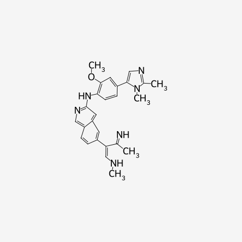 CN/C=C(\C(C)=N)c1ccc2cnc(Nc3ccc(-c4cnc(C)n4C)cc3OC)cc2c1